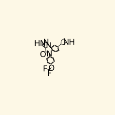 O=C(c1c[nH]nn1)N(c1ccc(OC(F)F)cc1)c1ccc(C2CCNC2)cc1